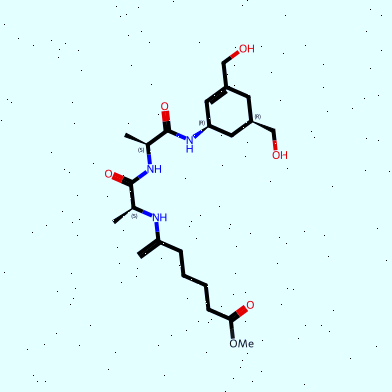 C=C(CCCCC(=O)OC)N[C@@H](C)C(=O)N[C@@H](C)C(=O)N[C@H]1C=C(CO)C[C@@H](CO)C1